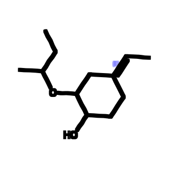 C/C=C1\CCC(O)C(OC(C)CC)C1